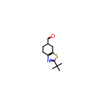 CC(C)(C)c1nc2c(s1)CC(C=O)CC2